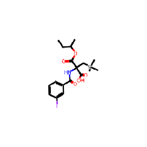 CCC(C)OC(=O)C(C[Si](C)(C)C)(NC(=O)c1cccc(I)c1)C(=O)O